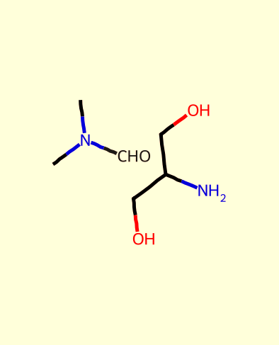 CN(C)C=O.NC(CO)CO